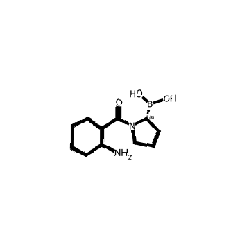 NC1CCCCC1C(=O)N1CCC[C@H]1B(O)O